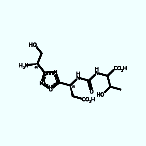 CC(O)C(NC(=O)N[C@@H](CC(=O)O)c1nc([C@@H](N)CO)no1)C(=O)O